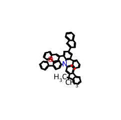 CC1(C)c2ccccc2-c2ccc(N(c3ccc4c(c3)oc3ccccc34)c3c(-c4ccccc4)cc(-c4ccc5ccccc5c4)cc3-c3ccc4ccccc4c3)cc21